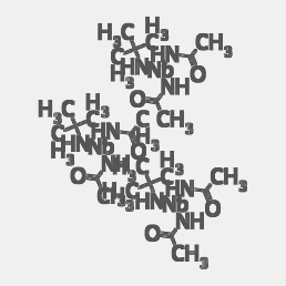 CC(=O)[NH][Nb]([NH]C(C)=O)[NH]C(C)(C)C.CC(=O)[NH][Nb]([NH]C(C)=O)[NH]C(C)(C)C.CC(=O)[NH][Nb]([NH]C(C)=O)[NH]C(C)(C)C